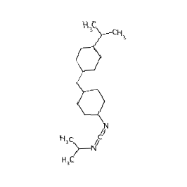 CC(C)N=C=NC1CCC(CC2CCC(C(C)C)CC2)CC1